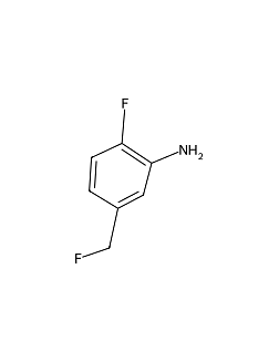 Nc1cc(CF)ccc1F